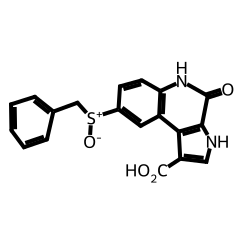 O=C(O)c1c[nH]c2c(=O)[nH]c3ccc([S+]([O-])Cc4ccccc4)cc3c12